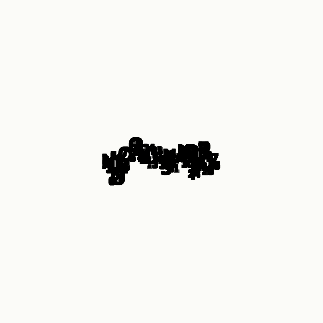 COc1cncc(OCC(=O)N2CCC(c3nc(C4=NOC(c5c(F)cccc5F)C4)cs3)CC2)n1